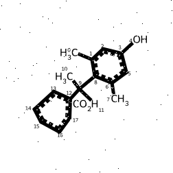 Cc1cc(O)cc(C)c1C(C)(C(=O)O)c1ccccc1